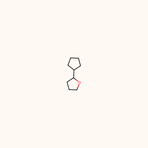 C1CO[C](C2CCCC2)C1